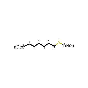 CCCCCCCCCCCCCCCCSCCCCCCCCC